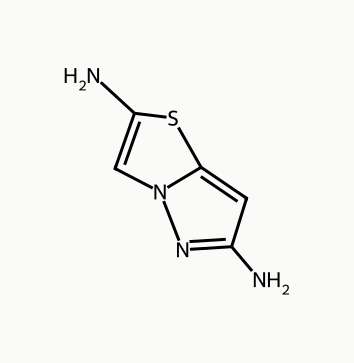 Nc1cc2sc(N)cn2n1